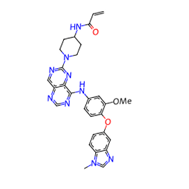 C=CC(=O)NC1CCN(c2ncc3ncnc(Nc4ccc(Oc5ccc6c(c5)ncn6C)c(OC)c4)c3n2)CC1